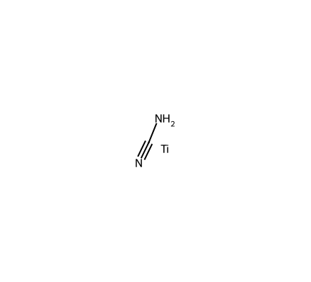 N#CN.[Ti]